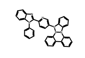 c1ccc(-n2c(-c3ccc(N4B5c6ccccc6-c6ccccc6N5c5ccccc54)cn3)nc3ccccc32)cc1